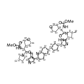 COC(=O)N[C@H](C(=O)N1C[C@@H](C)C[C@H]1c1ncc(-c2ccc(-c3ccc4nc(-c5cnc([C@@H]6C[C@H](C)CN6C(=O)[C@@H](NC(=O)OC)C6CCOCC6)[nH]5)ccc4c3)cc2)[nH]1)C1CCOCC1